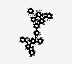 c1ccc(-n2c3ccccc3c3c4c5c(ccc6c7cc(-c8ccc(-n9c%10ccccc%10c%10cc%11c%12c(ccc%13c%14ccccc%14sc%13%12)c%12c%13ccccc%13cn%12c%11cc%109)cc8)ccc7sc65)c5c6ccccc6cn5c4ccc32)cc1